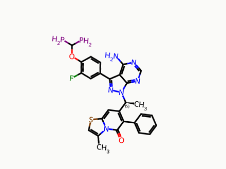 Cc1csc2cc([C@H](C)n3nc(-c4ccc(OC(P)P)c(F)c4)c4c(N)ncnc43)c(-c3ccccc3)c(=O)n12